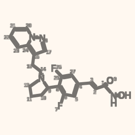 O=C(C=Cc1cc(F)c(C2CCCN2CCc2cnn3ccccc23)c(F)c1)NO